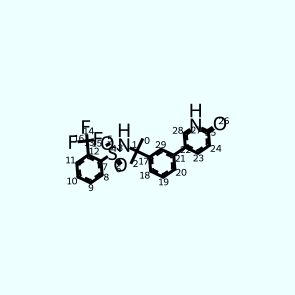 CC(C)(NS(=O)(=O)c1ccccc1C(F)(F)F)c1cccc(-c2ccc(=O)[nH]c2)c1